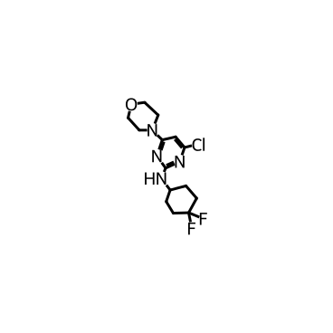 FC1(F)CCC(Nc2nc(Cl)cc(N3CCOCC3)n2)CC1